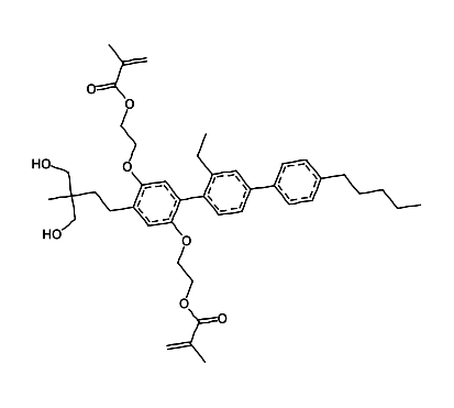 C=C(C)C(=O)OCCOc1cc(-c2ccc(-c3ccc(CCCCC)cc3)cc2CC)c(OCCOC(=O)C(=C)C)cc1CCC(C)(CO)CO